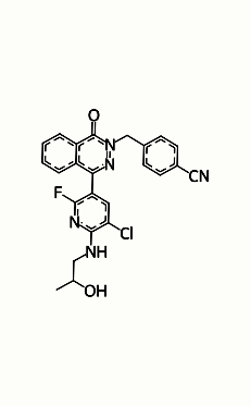 CC(O)CNc1nc(F)c(-c2nn(Cc3ccc(C#N)cc3)c(=O)c3ccccc23)cc1Cl